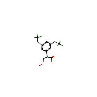 COCC(C(=O)O)c1cc(CC(F)(F)F)cc(CC(F)(F)F)c1